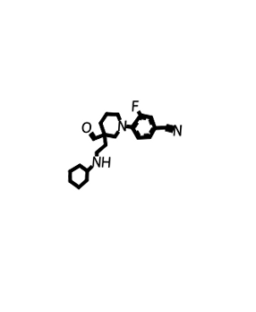 N#Cc1ccc(N2CCCC(C=O)(CCNC3CCCCC3)C2)c(F)c1